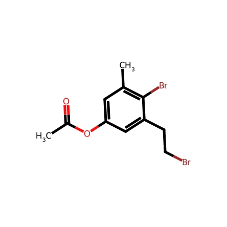 CC(=O)Oc1cc(C)c(Br)c(CCBr)c1